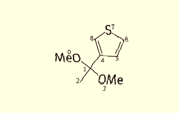 COC(C)(OC)c1ccsc1